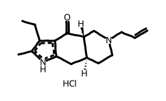 C=CCN1CC[C@H]2Cc3[nH]c(C)c(CC)c3C(=O)[C@@H]2C1.Cl